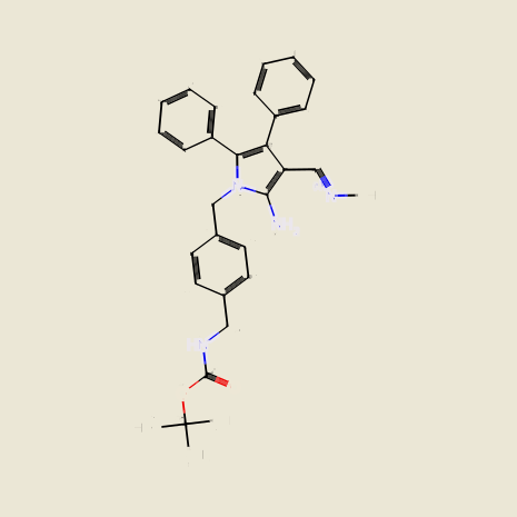 C/N=C/c1c(-c2ccccc2)c(-c2ccccc2)n(Cc2ccc(CNC(=O)OC(C)(C)C)cc2)c1N